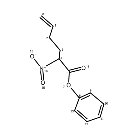 C=CCCC(C(=O)Oc1ccccc1)[N+](=O)[O-]